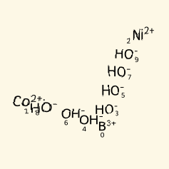 [B+3].[Co+2].[Ni+2].[OH-].[OH-].[OH-].[OH-].[OH-].[OH-].[OH-]